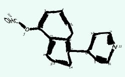 O=COc1cccc2c(-c3ccncc3)cccc12